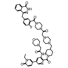 CCn1cc(-c2cnc(C(=O)N3CCC(CN4CCN(CC(=O)N5CCN(C(=O)c6cc(Cc7n[nH]c(=O)c8ccccc78)ccc6F)CC5)CC4)CC3)c(NC(=O)CN3CCOCC3)c2)ccc1=O